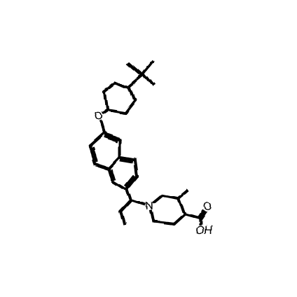 CCC(c1ccc2cc(OC3CCC(C(C)(C)C)CC3)ccc2c1)N1CCC(C(=O)O)C(C)C1